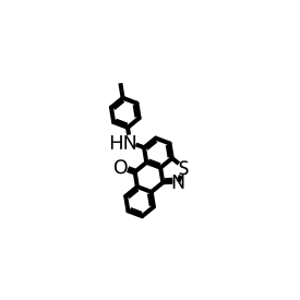 Cc1ccc(Nc2ccc3snc4c3c2C(=O)c2ccccc2-4)cc1